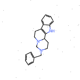 c1ccc(CN2CCC3c4[nH]c5ccccc5c4CCN3C2)cc1